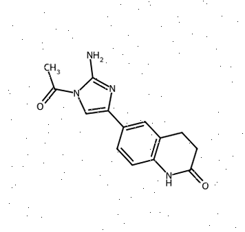 CC(=O)n1cc(-c2ccc3c(c2)CCC(=O)N3)nc1N